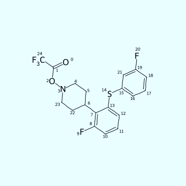 O=C(ON1CCC(c2c(F)cccc2Sc2cccc(F)c2)CC1)C(F)(F)F